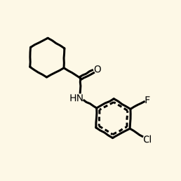 O=C(Nc1ccc(Cl)c(F)c1)C1CCCCC1